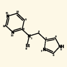 CCN(Cc1c[nH]cn1)c1ccncn1